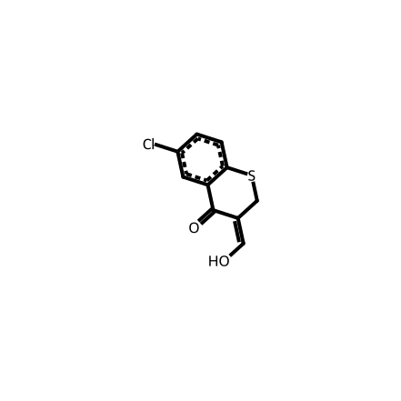 O=C1C(=CO)CSc2ccc(Cl)cc21